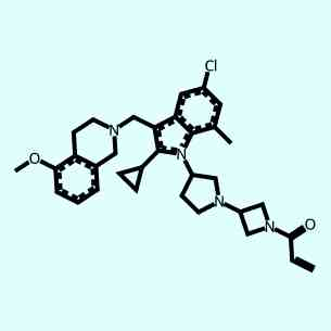 C=CC(=O)N1CC(N2CCC(n3c(C4CC4)c(CN4CCc5c(cccc5OC)C4)c4cc(Cl)cc(C)c43)C2)C1